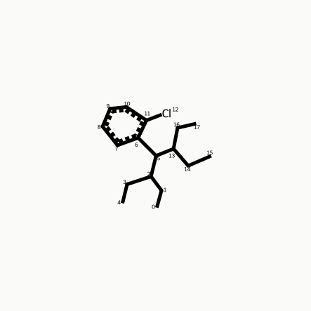 CCC(CC)C(c1ccccc1Cl)C(CC)CC